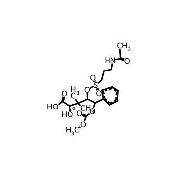 COC(=O)OC(c1ccccc1)C(OS(=O)(=O)CCCNC(C)=O)C(C)(C)[C@@H](O)C(=O)O